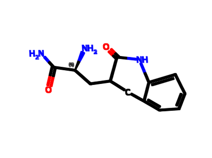 NC(=O)[C@@H](N)CC1Cc2ccccc2NC1=O